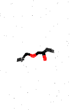 [CH2]OC(=O)COCC(=O)O